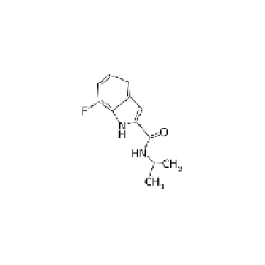 CC(C)NC(=O)c1cc2cccc(F)c2[nH]1